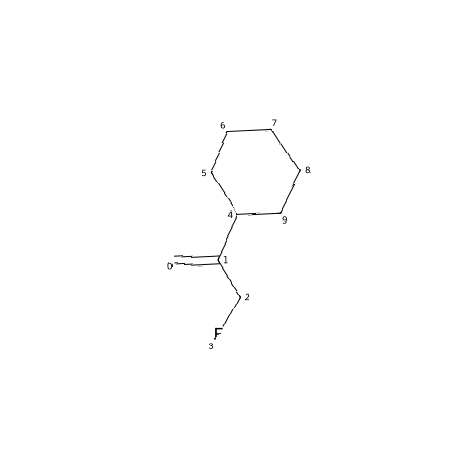 C=C(CF)C1CCCCC1